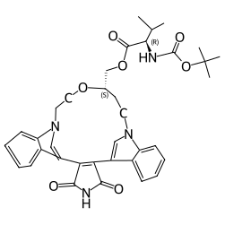 CC(C)[C@@H](NC(=O)OC(C)(C)C)C(=O)OC[C@@H]1CCn2cc(c3ccccc32)C2=C(C(=O)NC2=O)c2cn(c3ccccc23)CCO1